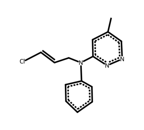 Cc1cnnc(N(CC=CCl)c2ccccc2)c1